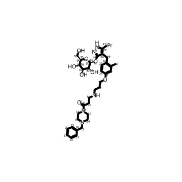 Cc1cc(OCCCNCCC(=O)N2CCN(Cc3ccccc3)CC2)ccc1Cc1c(O[C@@H]2O[C@H](CO)[C@@H](O)[C@H](O)[C@H]2O)n[nH]c1C(C)C